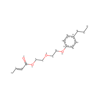 CC=CC(=O)OCCOCCOc1ccc(CCC)cc1